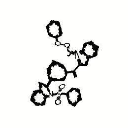 C=C(c1cccc(-c2cc3ccccc3n2S(=O)(=O)c2ccccc2)c1)c1cc2ccccc2n1SOOc1ccccc1